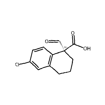 O=C[C@]1(C(=O)O)CCCc2cc(Cl)ccc21